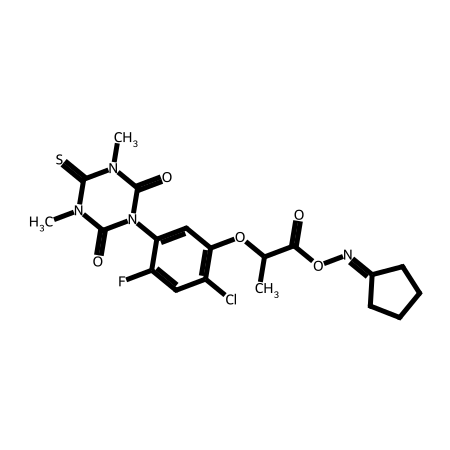 CC(Oc1cc(-n2c(=O)n(C)c(=S)n(C)c2=O)c(F)cc1Cl)C(=O)ON=C1CCCC1